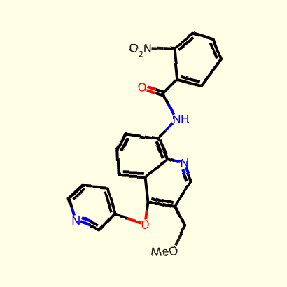 COCc1cnc2c(NC(=O)c3ccccc3[N+](=O)[O-])cccc2c1Oc1cccnc1